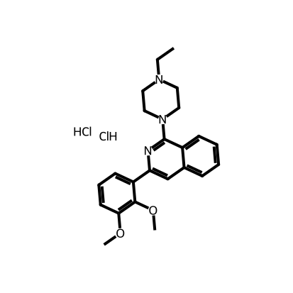 CCN1CCN(c2nc(-c3cccc(OC)c3OC)cc3ccccc23)CC1.Cl.Cl